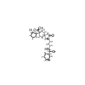 CN(C)[C@]1(c2ccccc2)CC[C@@]2(CC1)CC(=O)N(CCCNC(=O)c1cccnc1)C2